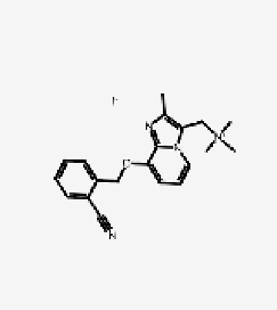 Cc1nc2c(OCc3ccccc3C#N)cccn2c1C[N+](C)(C)C.[I-]